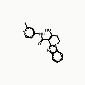 Cc1cc(NC(=O)C2=C(O)CCn3c2nc2ccccc23)ccn1